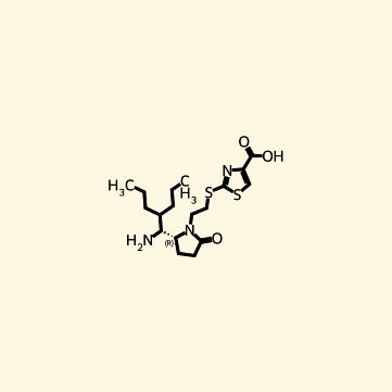 CCCC(CCC)C(N)[C@H]1CCC(=O)N1CCSc1nc(C(=O)O)cs1